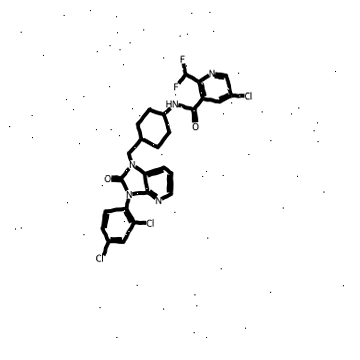 O=C(NC1CCC(Cn2c(=O)n(-c3ccc(Cl)cc3Cl)c3ncccc32)CC1)c1cc(Cl)cnc1C(F)F